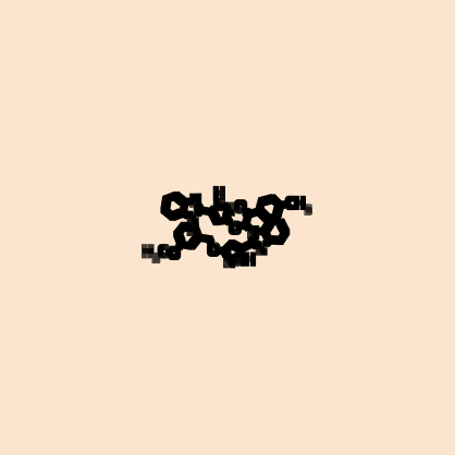 COc1cccc(COc2cc(-c3nc4ccccc4n3C(Oc3cc(-c4nc5ccccc5[nH]4)[nH]n3)C(=O)c3ccc(C)cc3)[nH]n2)c1